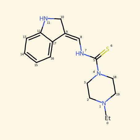 CCN1CCN(C(=S)N/C=C2/CNc3ccccc32)CC1